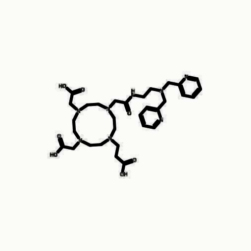 O=C(O)CCN1CCN(CC(=O)O)CCN(CC(=O)O)CCN(CC(=O)NCCN(Cc2ccccn2)Cc2ccccn2)CC1